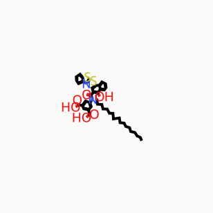 CCCCCCCCCCCCCCCCCCN(C(=O)c1cc(Sc2nc3ccccc3s2)c2ccccc2c1O)c1cc(C(=O)O)cc(C(=O)O)c1